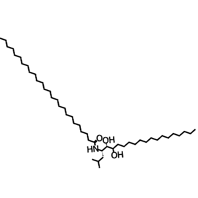 CCCCCCCCCCCCCCCCCCCCCCCCCC(=O)N[C@@H](CC(C)C)[C@H](O)[C@H](O)CCCCCCCCCCCCCCC